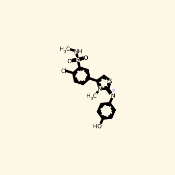 CNS(=O)(=O)c1cc(-c2cs/c(=N/c3ccc(O)cc3)n2C)ccc1Cl